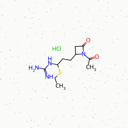 CCSC(CCC1CC(=O)N1C(C)=O)NC(=N)N.Cl